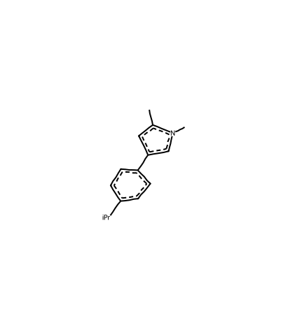 Cc1cc(-c2ccc(C(C)C)cc2)cn1C